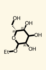 CCOC1O[C@H](CO)[C@@H](O)C(O)[C@H]1O